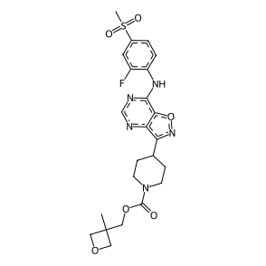 CC1(COC(=O)N2CCC(c3noc4c(Nc5ccc(S(C)(=O)=O)cc5F)ncnc34)CC2)COC1